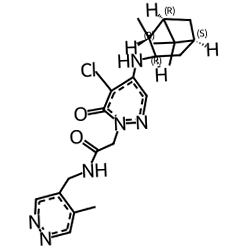 Cc1cnncc1CNC(=O)Cn1ncc(N[C@@H]2C[C@@H]3C[C@H]([C@H]2C)C3(C)C)c(Cl)c1=O